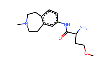 COCCC(N)C(=O)Nc1ccc2c(c1)CCN(C)CC2